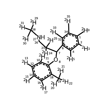 [2H]c1c([2H])c([2H])c(C(Oc2c([2H])c([2H])c([2H])c([2H])c2C([2H])([2H])[2H])C([2H])([2H])CNC([2H])([2H])[2H])c([2H])c1[2H]